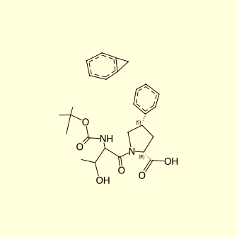 CC(O)C(NC(=O)OC(C)(C)C)C(=O)N1C[C@H](c2ccccc2)C[C@@H]1C(=O)O.c1ccc2c(c1)C2